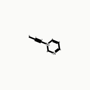 CC#CN1C=CC=NC1